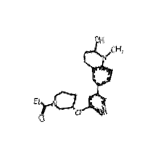 CCC(=O)N1CCC[C@H](Oc2cncc(-c3ccc4c(c3)CCC(O)N4C)c2)C1